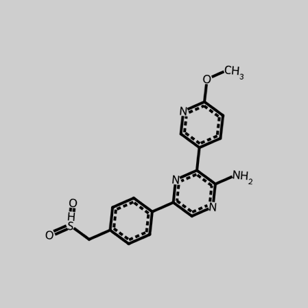 COc1ccc(-c2nc(-c3ccc(C[SH](=O)=O)cc3)cnc2N)cn1